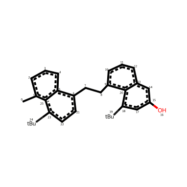 Cc1cccc2c(CCc3cccc4cc(O)cc(C(C)(C)C)c34)ccc(C(C)(C)C)c12